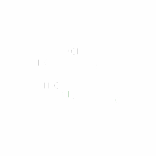 CC(C)C(C)c1ccc(Cl)cc1Cl